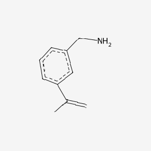 C=C(C)c1cccc(CN)c1